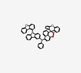 c1ccc(N(c2ccc3c(c2)c2ccccc2n3-c2cccc3oc4ccccc4c23)c2ccc3c4c(cccc24)C2(c4ccccc4Oc4ccccc42)c2ccccc2-3)cc1